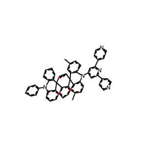 Cc1ccc2c(c1)C1(c3cc(C)ccc3N2c2cc(-c3ccncc3)nc(-c3ccncc3)c2)c2ccccc2C2(c3ccccc3N(c3ccccc3)c3ccccc32)c2ccccc21